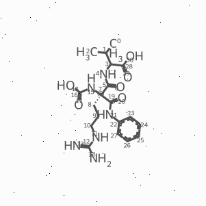 CC(C)C(NC(=O)[C@](CCCNC(=N)N)(NC(=O)O)C(=O)Nc1ccccc1)C(=O)O